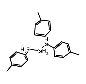 Cc1ccc([SiH2][SiH2][SiH](c2ccc(C)cc2)c2ccc(C)cc2)cc1